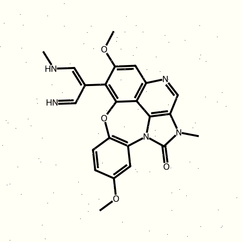 CN/C=C(\C=N)c1c(OC)cc2ncc3c4c2c1oc1ccc(OC)cc1n4c(=O)n3C